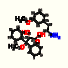 COC(c1ccccc1)(c1ccccc1)[C@H](O)C(=O)O.COc1cccc(CCN)c1